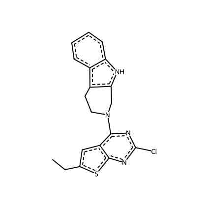 CCc1cc2c(N3CCc4c([nH]c5ccccc45)C3)nc(Cl)nc2s1